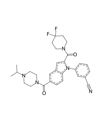 CC(C)N1CCN(C(=O)c2ccc3c(c2)cc(C(=O)N2CCC(F)(F)CC2)n3-c2cccc(C#N)c2)CC1